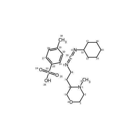 CN1CCOCC1CCN=C=NC1CCCCC1.Cc1ccc(S(=O)(=O)O)cc1